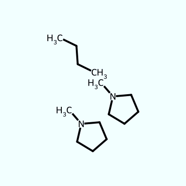 CCCC.CN1CCCC1.CN1CCCC1